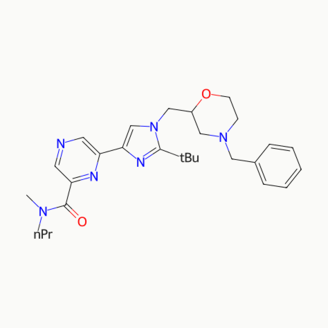 CCCN(C)C(=O)c1cncc(-c2cn(CC3CN(Cc4ccccc4)CCO3)c(C(C)(C)C)n2)n1